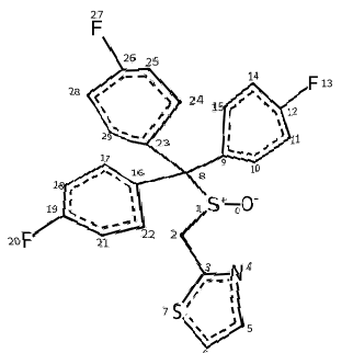 [O-][S+](Cc1nccs1)C(c1ccc(F)cc1)(c1ccc(F)cc1)c1ccc(F)cc1